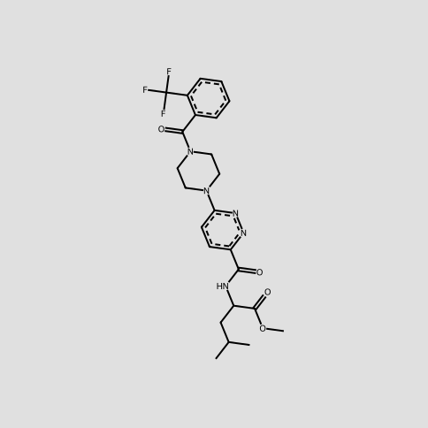 COC(=O)C(CC(C)C)NC(=O)c1ccc(N2CCN(C(=O)c3ccccc3C(F)(F)F)CC2)nn1